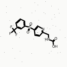 O=C(O)NCc1ccc(S(=O)(=O)c2cccc(C(F)(F)F)c2)cn1